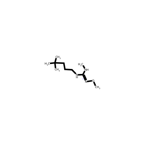 CN/C(=N\OC)NCCCC(C)(C)C